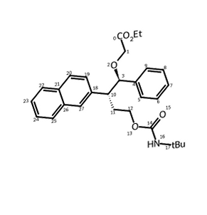 CCOC(=O)CO[C@@H](c1ccccc1)[C@H](CCOC(=O)NC(C)(C)C)c1ccc2ccccc2c1